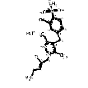 Cc1nn(C/C(F)=C/CN)c(C)c1Cc1ccc(S(N)(=O)=O)c(Cl)c1.Cl